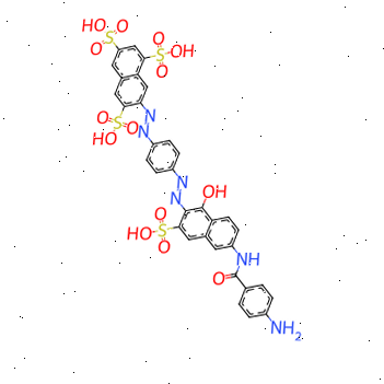 Nc1ccc(C(=O)Nc2ccc3c(O)c(N=Nc4ccc(N=Nc5cc6c(S(=O)(=O)O)cc(S(=O)(=O)O)cc6cc5S(=O)(=O)O)cc4)c(S(=O)(=O)O)cc3c2)cc1